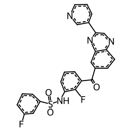 O=C(c1ccc2ncc(-c3cccnc3)nc2c1)c1cccc(NS(=O)(=O)c2cccc(F)c2)c1F